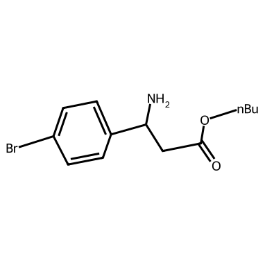 CCCCOC(=O)CC(N)c1ccc(Br)cc1